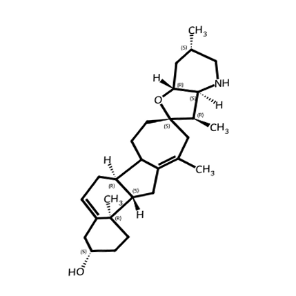 CC1=C2C[C@H]3[C@@H](CC=C4C[C@@H](O)CC[C@@]43C)C2CC[C@@]2(C1)O[C@@H]1C[C@H](C)CN[C@H]1[C@H]2C